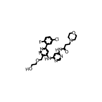 O=C(CCN1CCOCC1)Nc1cc(Nc2cc(-c3cc(Cl)ccc3F)nnc2COCCO)ncn1